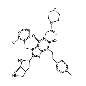 O=C(Cn1c(=O)c2c(nc(C3CC4CNC=C4N3)n2Cc2ccccc2Cl)n(CCc2ccc(F)cc2)c1=O)N1CCOCC1